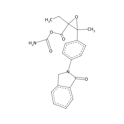 CCC1(C(=O)OC(N)=O)OC1(C)c1ccc(N2Cc3ccccc3C2=O)cc1